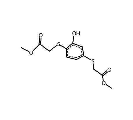 COC(=O)CSc1ccc(SCC(=O)OC)c(O)c1